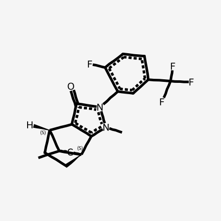 Cn1c2c(c(=O)n1-c1cc(C(F)(F)F)ccc1F)[C@H]1CC[C@@]23CC13C